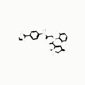 Cc1cccc(C)c1N(CC(=O)Nc1ccc(-c2ncon2)cc1)C(=O)C1=CC(=O)CS1(=O)=O